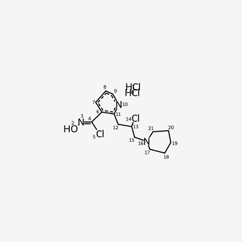 Cl.Cl.ON=C(Cl)c1cccnc1CC(Cl)CN1CCCCC1